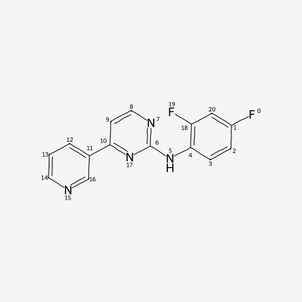 Fc1ccc(Nc2nccc(-c3cccnc3)n2)c(F)c1